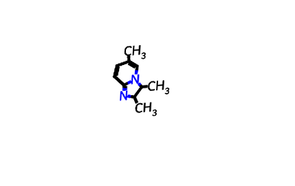 CC1=CN2C(=NC(C)C2C)C=C1